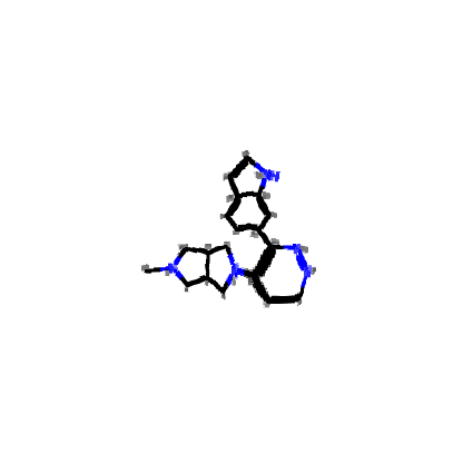 CN1CC2CN(c3ccnnc3-c3ccc4cc[nH]c4c3)CC2C1